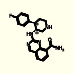 NC(=O)c1cccc2cnc(N[C@H]3CNCC[C@@H]3c3ccc(F)cc3)nc12